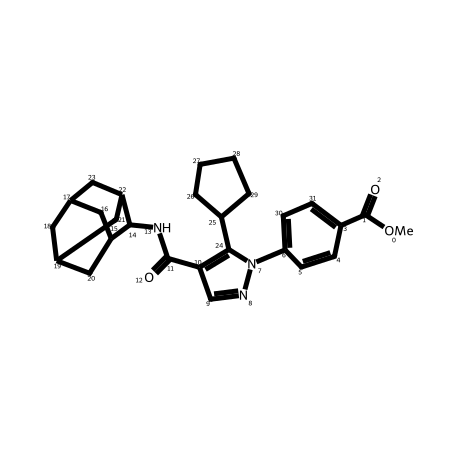 COC(=O)c1ccc(-n2ncc(C(=O)NC3C4CC5CC(C4)CC3C5)c2C2CCCC2)cc1